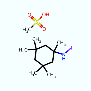 CC1(C)CC(C)(C)CC(C)(NI)C1.CS(=O)(=O)O